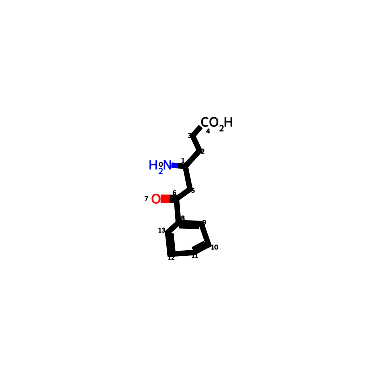 NC(CCC(=O)O)CC(=O)c1ccccc1